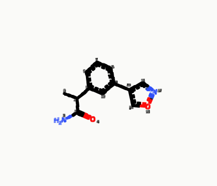 CC(C(N)=O)c1cccc(-c2cnoc2)c1